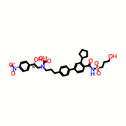 O=C(NS(=O)(=O)CCCO)c1ccc(-c2ccc(CCCN(C[C@@H](O)c3ccc([N+](=O)[O-])cc3)C(=O)O)cc2)cc1C1CCCC1